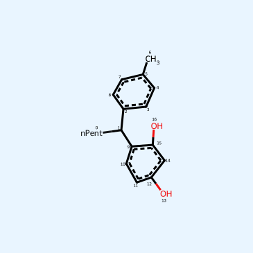 CCCCCC(c1ccc(C)cc1)c1ccc(O)cc1O